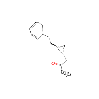 CCOC(=O)C(=O)C[C@H]1C[C@@H]1CCc1ccccc1